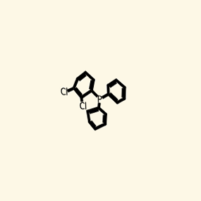 Clc1cccc(P(c2ccccc2)c2ccccc2)c1Cl